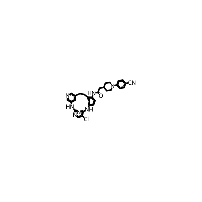 N#Cc1ccc(N2CCC(CC(=O)Nc3ccc4cc3CCc3cncc(c3)Nc3ncc(Cl)c(n3)N4)CC2)cc1